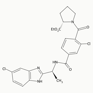 CCOC(=O)[C@@H]1CCCN1C(=O)c1ccc(C(=O)N[C@@H](C)c2nc3cc(Cl)ccc3[nH]2)cc1Cl